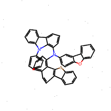 c1ccc(-n2c3ccccc3c3cccc(N(c4ccc5oc6ccccc6c5c4)c4cccc5ccc6c7ccccc7sc6c45)c32)cc1